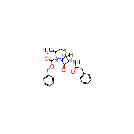 C=C1CS[C@@H]2[C@H](NC(=O)Cc3ccccc3)C(=O)N2[C@H]1C(=O)OCc1ccccc1